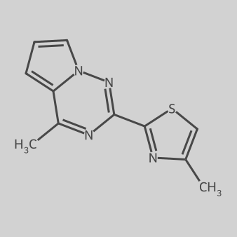 Cc1csc(-c2nc(C)c3cccn3n2)n1